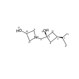 CC(C)[C@H]1C[C@](O)(CN2CC(O)C2)C1